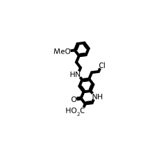 COc1ccccc1CCNc1cc2c(=O)c(C(=O)O)c[nH]c2cc1CCCl